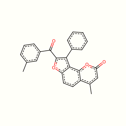 Cc1cccc(C(=O)c2oc3ccc4c(C)cc(=O)oc4c3c2-c2ccccc2)c1